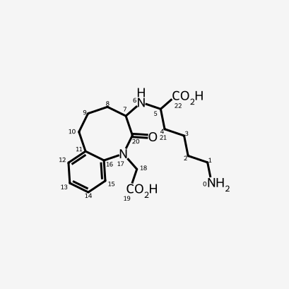 NCCCCC(NC1CCCc2ccccc2N(CC(=O)O)C1=O)C(=O)O